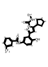 CCNC(=O)n1nc(-c2cc(NC(=O)c3cccc(C(F)(F)F)c3)ccc2O)cc1C1CCCC1